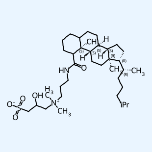 CC(C)CCC[C@@H](C)[C@H]1CC[C@H]2[C@@H]3CCC4CCCC(C(=O)NCCC[N+](C)(C)CC(O)CS(=O)(=O)[O-])[C@]4(C)[C@H]3CC[C@]12C